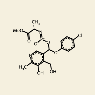 COC(=O)[C@H](C)N=[P+]([O-])OC(Oc1ccc(Cl)cc1)c1cnc(C)c(O)c1CO